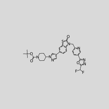 CC(C)(C)OC(=O)N1CCC(n2cc(-c3ccc4c(c3)sc(=O)n4Cc3ccc(-c4nnc(C(F)F)o4)cn3)cn2)CC1